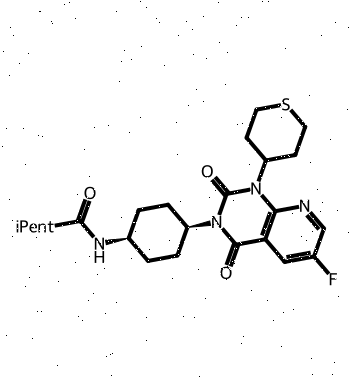 CCCC(C)C(=O)N[C@H]1CC[C@@H](n2c(=O)c3cc(F)cnc3n(C3CCSCC3)c2=O)CC1